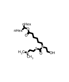 CCCCCCC(CCCCCC)OC(=O)CCCCCN(CCO)C(=O)SCCN(C)C